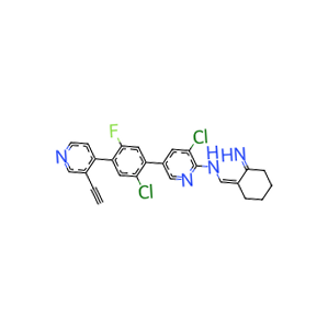 C#Cc1cnccc1-c1cc(Cl)c(-c2cnc(N/C=C3/CCCCC3=N)c(Cl)c2)cc1F